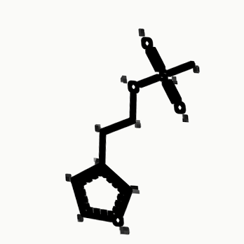 CS(=O)(=O)OCCc1ccoc1